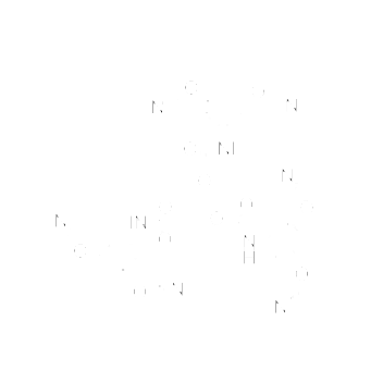 Cc1c(OC#N)cc(NC(=O)OCC(C)(COC(=O)Nc2cc(OC#N)c(C)c(OC#N)c2)OC(=O)Nc2cc(OC#N)c(C)c(OC#N)c2)cc1OC#N